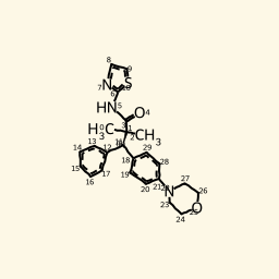 CC(C)(C(=O)Nc1nccs1)[C@H](c1ccccc1)c1ccc(N2CCOCC2)cc1